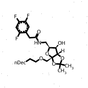 CCCCCCCCCCCCOC[C@@]12O[C@@H](CNC(=O)Cc3cc(F)c(F)cc3F)[C@@H](O)[C@@H]1OC(C)(C)O2